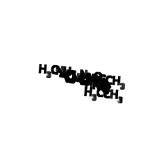 CNCC1CCN(c2ccc(C(=O)NC3C(C)(C)CC3(C)C)cn2)CC1